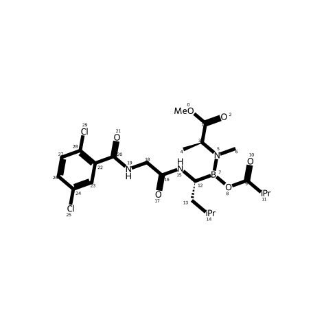 COC(=O)[C@H](C)N(C)B(OC(=O)C(C)C)[C@H](CC(C)C)NC(=O)CNC(=O)c1cc(Cl)ccc1Cl